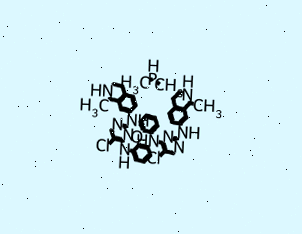 CC1NCCc2ccc(Nc3ncc(Cl)c(Nc4ccccc4Oc4ccccc4Nc4nc(Nc5ccc6c(c5)C(C)NCC6)ncc4Cl)n3)cc21.CPC